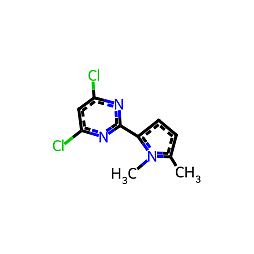 Cc1ccc(-c2nc(Cl)cc(Cl)n2)n1C